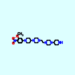 COc1cc(N2CCC(N3CCN(CCN4CCN(C5CCNCC5)CC4)CC3)CC2)ccc1[N+](=O)[O-]